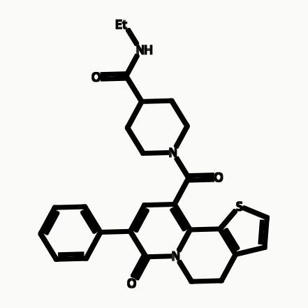 CCNC(=O)C1CCN(C(=O)c2cc(-c3ccccc3)c(=O)n3c2-c2sccc2CC3)CC1